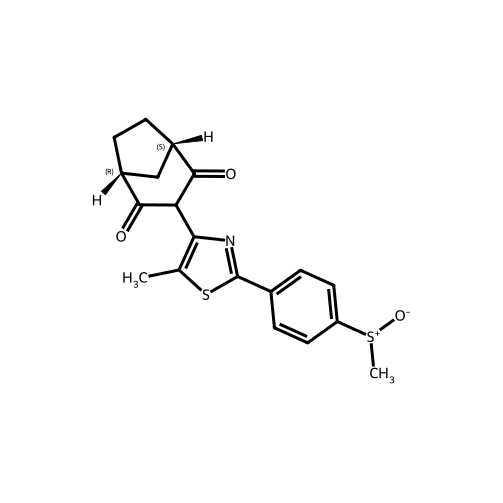 Cc1sc(-c2ccc([S+](C)[O-])cc2)nc1C1C(=O)[C@@H]2CC[C@@H](C2)C1=O